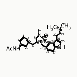 CC(=O)Nc1cccc(CC2CNS(=O)(=O)N2Cc2ccc3[nH]cc(CCN(C)C)c3c2)c1